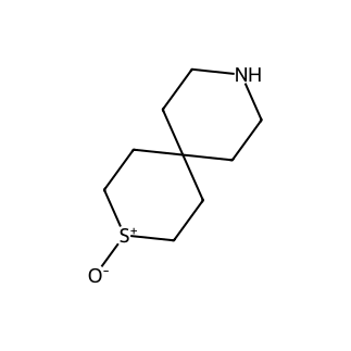 [O-][S+]1CCC2(CCNCC2)CC1